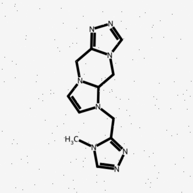 Cn1cnnc1CN1C=CN2Cc3nncn3CC12